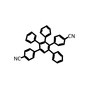 N#Cc1ccc(-c2cc(-c3ccccc3)c(-c3ccc(C#N)cc3)c(-c3ccccc3)c2-c2ccccc2)cc1